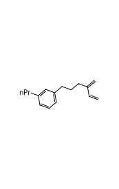 C=CC(=C)CCCc1cccc(CCC)c1